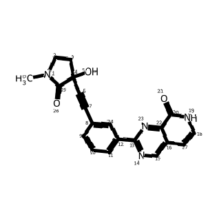 CN1CCC(O)(C#Cc2cccc(-c3ncc4cc[nH]c(=O)c4n3)c2)C1=O